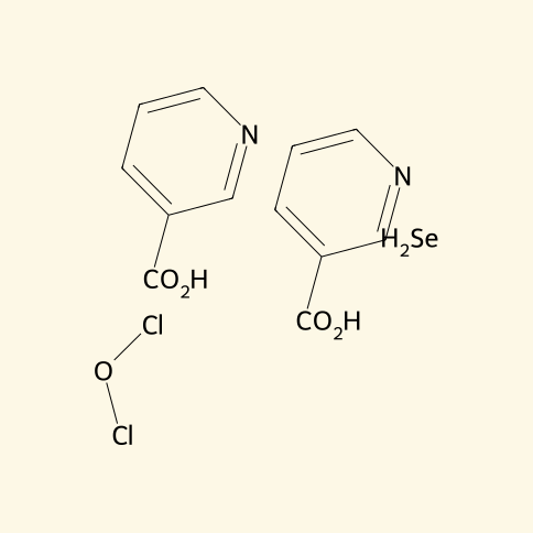 ClOCl.O=C(O)c1cccnc1.O=C(O)c1cccnc1.[SeH2]